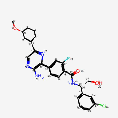 CO[C@H]1CCC[C@@H](c2cnc(N)c(-c3ccc(C(=O)N[C@H](CO)c4cccc(Cl)c4)c(F)c3)n2)C1